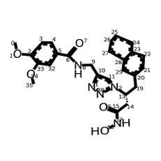 COc1ccc(C(=O)NCc2cn([C@@H](CC(=O)NO)Cc3ccc4ccccc4c3)nn2)cc1OC